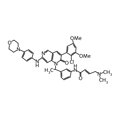 COc1cc(OC)c(Cl)c(-c2cc3cnc(Nc4ccc(N5CCOCC5)cc4)cc3n(C(C)c3cccc(NC(=O)/C=C/CN(C)C)c3)c2=O)c1